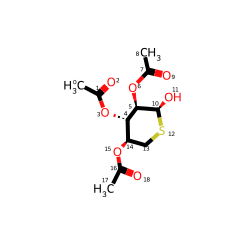 CC(=O)O[C@@H]1[C@@H](OC(C)=O)[C@@H](O)SC[C@H]1OC(C)=O